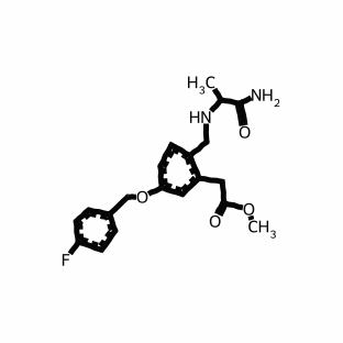 COC(=O)Cc1cc(OCc2ccc(F)cc2)ccc1CNC(C)C(N)=O